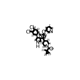 CN(C(=O)Oc1cccnc1)[C@]1(C(=O)C2CCN(C(=O)C3(C)CC3)CC2)CNC[C@H]1c1ccc(Cl)c(Cl)c1